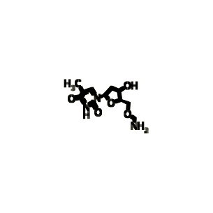 Cc1cn([C@H]2CC(O)[C@@H](COCN)O2)c(=O)[nH]c1=O